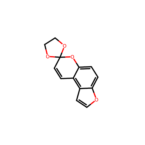 C1=CC2(OCCO2)Oc2ccc3occc3c21